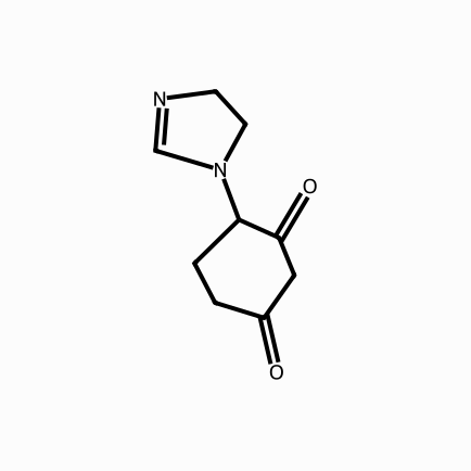 O=C1CCC(N2C=NCC2)C(=O)C1